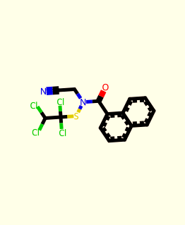 N#CCN(SC(Cl)(Cl)C(Cl)Cl)C(=O)c1cccc2ccccc12